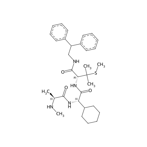 CN[C@@H](C)C(=O)N[C@H](C(=O)N[C@H](C(=O)NCC(c1ccccc1)c1ccccc1)C(C)(C)SC)C1CCCCC1